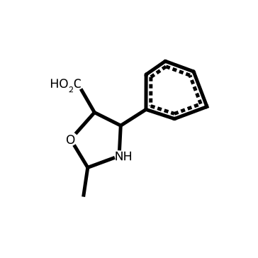 CC1NC(c2ccccc2)C(C(=O)O)O1